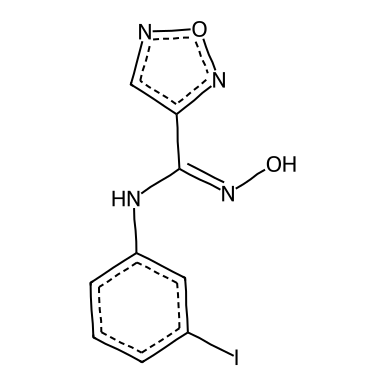 ON=C(Nc1cccc(I)c1)c1cnon1